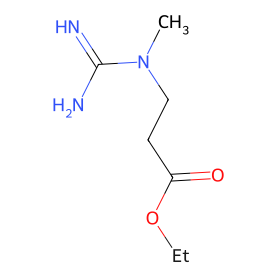 CCOC(=O)CCN(C)C(=N)N